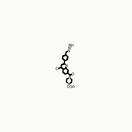 N=[N+]=NCc1ccc(-c2cc(Cl)c3ccc(C(=O)N4CCN(C(=O)[O-])CC4)cc3n2)cc1